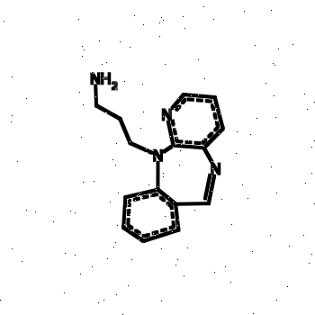 NCCCN1c2ccccc2C=Nc2cccnc21